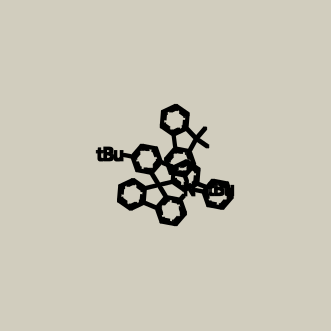 CC(C)(C)c1ccc2c(c1)C1(c3cc(C(C)(C)C)ccc3-2)c2ccccc2-c2cccc(N(c3ccccc3)c3ccc4c(c3)C(C)(C)c3ccccc3-4)c21